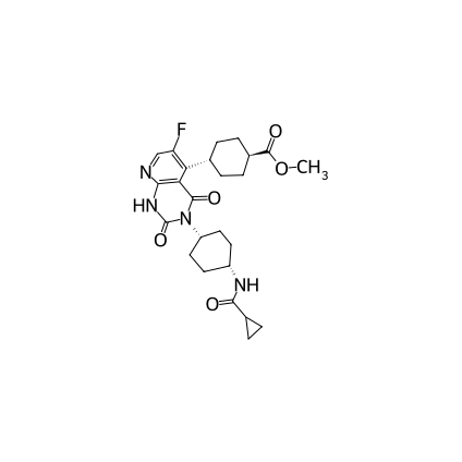 COC(=O)[C@H]1CC[C@H](c2c(F)cnc3[nH]c(=O)n([C@H]4CC[C@@H](NC(=O)C5CC5)CC4)c(=O)c32)CC1